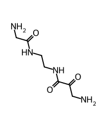 NCC(=O)NCCNC(=O)C(=O)CN